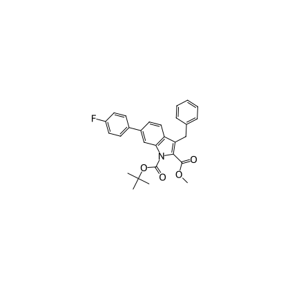 COC(=O)c1c(Cc2ccccc2)c2ccc(-c3ccc(F)cc3)cc2n1C(=O)OC(C)(C)C